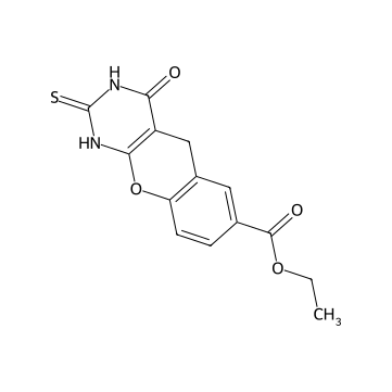 CCOC(=O)c1ccc2c(c1)Cc1c([nH]c(=S)[nH]c1=O)O2